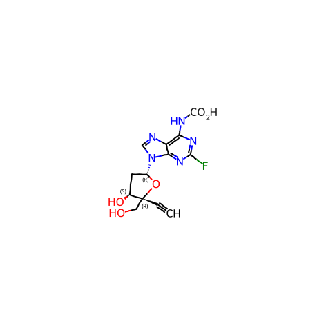 C#C[C@]1(CO)O[C@@H](n2cnc3c(NC(=O)O)nc(F)nc32)C[C@@H]1O